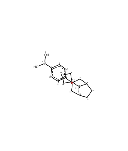 OB(O)c1ccc(N2CC3CCC(C2)N3C2COC2)nc1